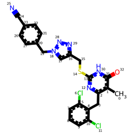 Cc1c(Cc2c(Cl)cccc2Cl)nc(SCc2cn(Cc3ccc(C#N)cc3)nn2)[nH]c1=O